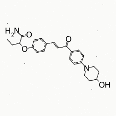 CCC(Oc1ccc(/C=C/C(=O)c2ccc(N3CCC(O)CC3)cc2)cc1)C(N)=O